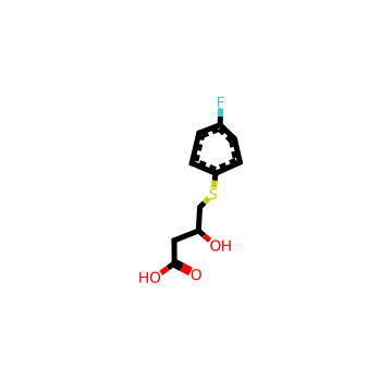 O=C(O)CC(O)CSc1ccc(F)cc1